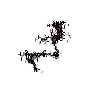 C/C=C(\C)C[C@@H](C)CC/C=C(\CN(CCCCCCCOP(=O)(O)OP(=O)(O)OCCCCCNC(=O)OCc1ccc(NC(=O)[C@@H](CCCNC(N)=O)NC(=O)[C@H](NC(=O)CCCCCN)C(C)C)cc1)C(=O)O)C(=O)O[C@@H]1CC(C)N([C@@H](C)C(=O)N(C)[C@H](Cc2ccccc2)C(=O)N(C)CC(=O)N[C@H](C(=O)N[C@H](C)C(=O)O)C(C)CC)C1=O